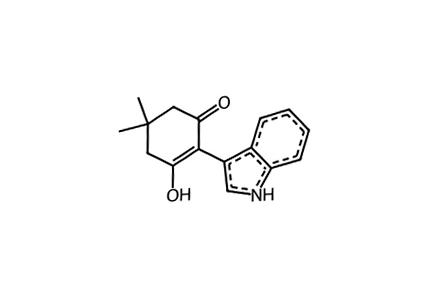 CC1(C)CC(=O)C(c2c[nH]c3ccccc23)=C(O)C1